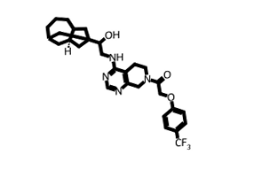 O=C(COc1ccc(C(F)(F)F)cc1)N1CCc2c(ncnc2NCC(O)C23CC4CCCC(C2)[C@H](C4)C3)C1